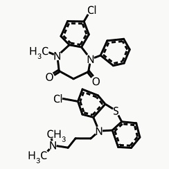 CN(C)CCCN1c2ccccc2Sc2ccc(Cl)cc21.CN1C(=O)CC(=O)N(c2ccccc2)c2cc(Cl)ccc21